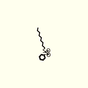 CCCCCCCCCSS(=O)(=O)c1ccccc1